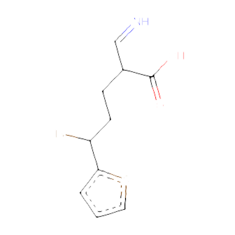 N=CC(CCC(S)c1cccs1)C(=O)O